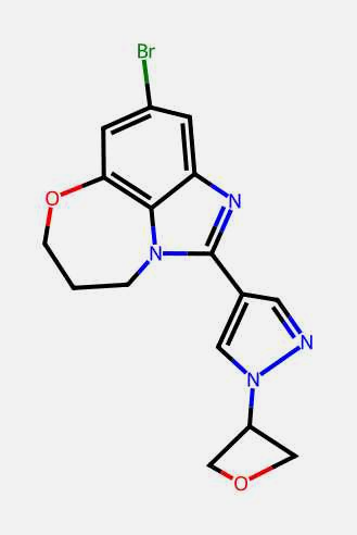 Brc1cc2c3c(c1)nc(-c1cnn(C4COC4)c1)n3CCCO2